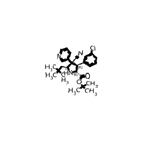 CC(C)(C)C[C@@H]1N[C@@H](C(=O)OC(C)(C)C)[C@H](c2cccc(Cl)c2)[C@@]1(C#N)c1cccnc1